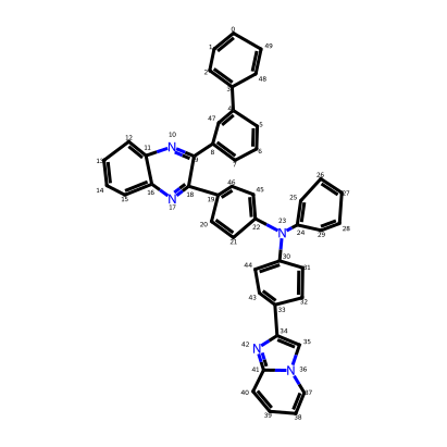 c1ccc(-c2cccc(-c3nc4ccccc4nc3-c3ccc(N(c4ccccc4)c4ccc(-c5cn6ccccc6n5)cc4)cc3)c2)cc1